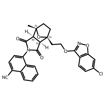 C[C@@]12CC[C@@](CCOc3noc4cc(Cl)ccc34)(O1)[C@H]1C(=O)N(c3ccc(C#N)c4ccccc34)C(=O)[C@H]12